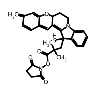 C=c1ccc2c(c1)OC1CCN3C(=C1C=2)C(S)(CC(C)(C)C(=O)ON1C(=O)CCC1=O)c1ccccc13